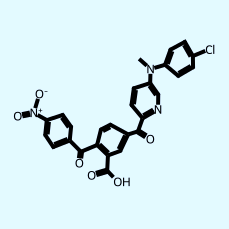 CN(c1ccc(Cl)cc1)c1ccc(C(=O)c2ccc(C(=O)c3ccc([N+](=O)[O-])cc3)c(C(=O)O)c2)nc1